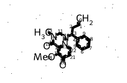 C=CCC(c1ccccc1)N1CN(C)C(=O)c2c(OC)c(=O)ccn21